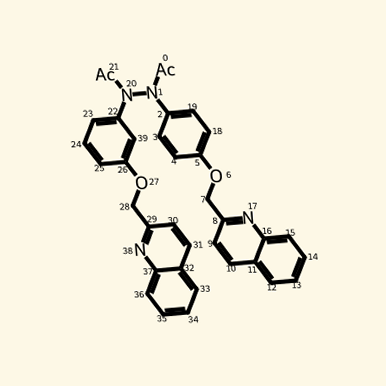 CC(=O)N(c1ccc(OCc2ccc3ccccc3n2)cc1)N(C(C)=O)c1cccc(OCc2ccc3ccccc3n2)c1